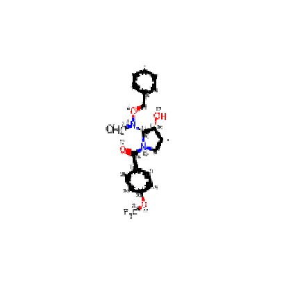 O=CN(OCc1ccccc1)[C@@H]1[C@H](O)CCN1C(=O)c1ccc(OC(F)(F)F)cc1